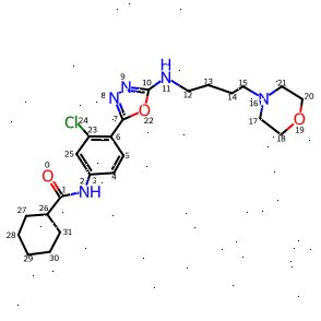 O=C(Nc1ccc(-c2nnc(NCCCCN3CCOCC3)o2)c(Cl)c1)C1CCCCC1